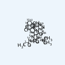 C=CC(=O)N1CCN2c3c(c(=O)n(-c4c(C5CC5)ncnc4C4CC4)c4c(F)c(-c5c(O)cccc5F)c(Cl)cc34)N(CCN(C)C)C(=O)[C@H]2C1